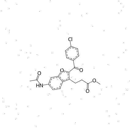 COC(=O)CCc1c(C(=O)c2ccc(Cl)cc2)oc2cc(NC(C)=O)ccc12